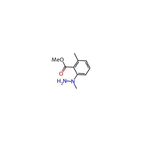 COC(=O)c1c(C)cccc1N(C)N